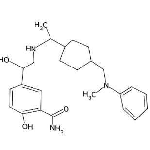 CC(NCC(O)c1ccc(O)c(C(N)=O)c1)C1CCC(CN(C)c2ccccc2)CC1